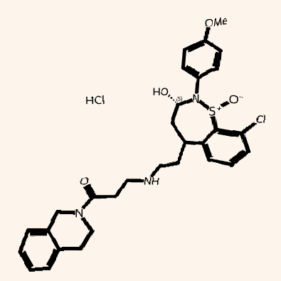 COc1ccc(N2[C@@H](O)CC(CCNCCC(=O)N3CCc4ccccc4C3)c3cccc(Cl)c3[S+]2[O-])cc1.Cl